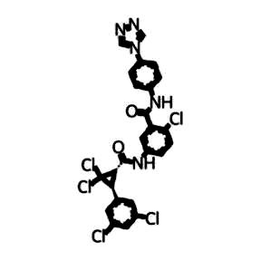 O=C(Nc1ccc(-n2cnnc2)cc1)c1cc(NC(=O)[C@@H]2[C@@H](c3cc(Cl)cc(Cl)c3)C2(Cl)Cl)ccc1Cl